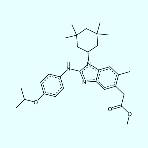 COC(=O)Cc1cc2nc(Nc3ccc(OC(C)C)cc3)n(C3CC(C)(C)CC(C)(C)C3)c2cc1C